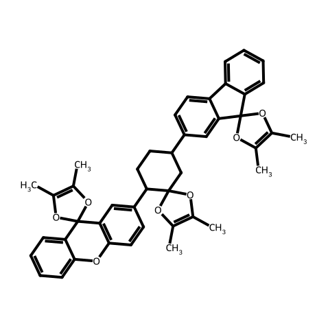 CC1=C(C)OC2(O1)c1ccccc1Oc1ccc(C3CCC(c4ccc5c(c4)C4(OC(C)=C(C)O4)c4ccccc4-5)CC34OC(C)=C(C)O4)cc12